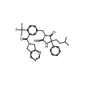 CC(C)CCC1(c2ccccc2)NC(=N)N(Cc2ccc(C(F)(F)F)c(C(=O)N3Cc4cncnc4C3)c2)C1=O